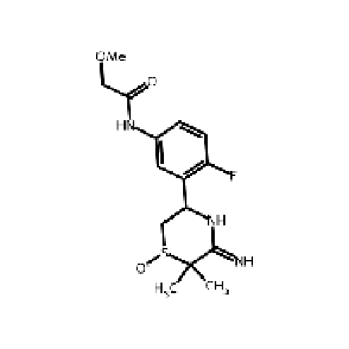 COCC(=O)Nc1ccc(F)c(C2C[S+]([O-])C(C)(C)C(=N)N2)c1